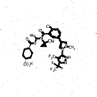 CN1CC(c2ccc(Cl)c(C(=O)N(C(OC(=O)[C@H]3CC[C@H](C(=O)O)CC3)C(C)(C)C)C3(C#N)CC3)c2)=CN1c1[nH]nc(C(F)(F)C(F)(F)F)c1C(F)(F)F